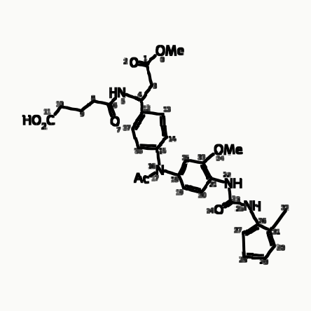 COC(=O)CC(NC(=O)CCCC(=O)O)c1ccc(N(C(C)=O)c2ccc(NC(=O)Nc3ccccc3C)c(OC)c2)cc1